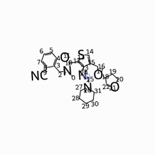 CN(Cc1ccccc1C#N)C(=O)c1scc(COC2CCOC2)c1/N=C/N1CCCCC1